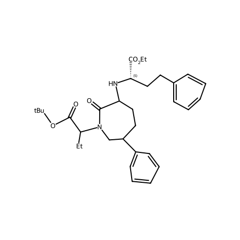 CCOC(=O)[C@H](CCc1ccccc1)NC1CCC(c2ccccc2)CN(C(CC)C(=O)OC(C)(C)C)C1=O